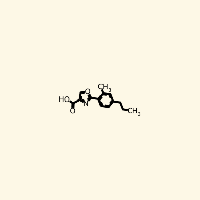 CCCc1ccc(-c2nc(C(=O)O)co2)c(C)c1